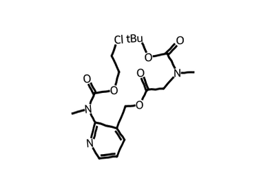 CN(CC(=O)OCc1cccnc1N(C)C(=O)OCCCl)C(=O)OC(C)(C)C